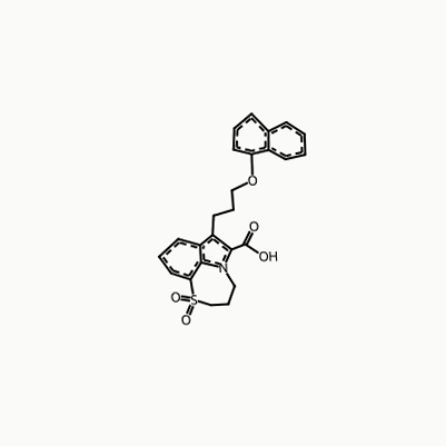 O=C(O)c1c(CCCOc2cccc3ccccc23)c2cccc3c2n1CCCS3(=O)=O